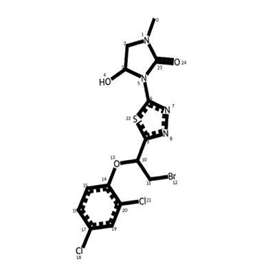 CN1CC(O)N(c2nnc(C(CBr)Oc3ccc(Cl)cc3Cl)s2)C1=O